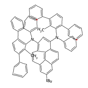 Cc1c(-c2ccccc2)ccc(-c2ccccc2)c1N(c1ccccc1)c1cc(N(c2ccccc2)c2c(-c3ccccc3)ccc(-c3ccccc3)c2C)c2ccc3cc(C(C)(C)C)cc4ccc1c2c43